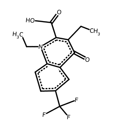 CCc1c(C(=O)O)n(CC)c2ccc(C(F)(F)F)cc2c1=O